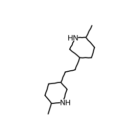 CC1CCC(CCC2CCC(C)NC2)CN1